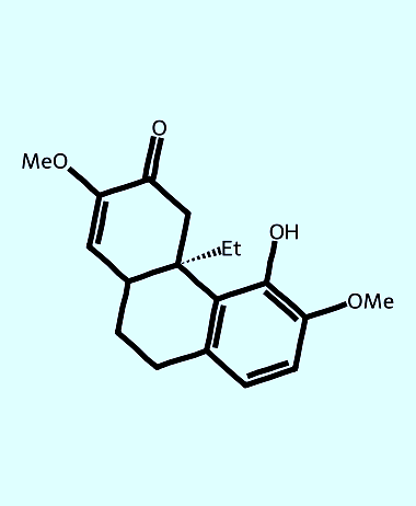 CC[C@@]12CC(=O)C(OC)=CC1CCc1ccc(OC)c(O)c12